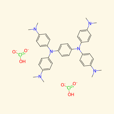 CN(C)c1ccc(N(c2ccc(N(C)C)cc2)c2ccc(N(c3ccc(N(C)C)cc3)c3ccc(N(C)C)cc3)cc2)cc1.[O-][Cl+2]([O-])O.[O-][Cl+2]([O-])O